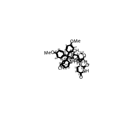 COc1ccc(C(O[C@H](C)[C@]23CO[C@H]([C@H](n4ccc(=O)[nH]c4=O)O2)[C@H]3OP[N+](OCCC#N)(C(C)C)C(C)C)(c2ccccc2)c2ccc(OC)cc2)cc1